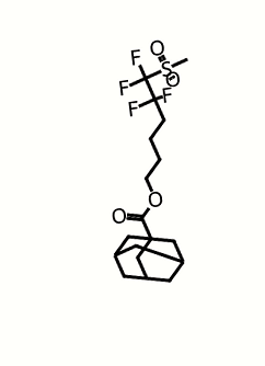 CS(=O)(=O)C(F)(F)C(F)(F)CCCCOC(=O)C12CC3CC(CC(C3)C1)C2